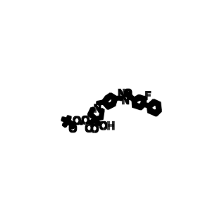 CC(C)(C)C(=O)OCOC(=O)C1(C(=O)O)CCN(Cc2ccc(-c3noc(-c4ccc(-c5ccccc5)c(F)c4)n3)cc2)CC1